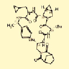 C[C@H](NC(=O)N(CC1CC1)NC(=O)[C@@H]1[C@H]2C[C@H]2CN1C(=O)[C@@H](NC(=O)N[C@H](CN1C(=O)C2CCC(C2)C1=O)C(C)(C)C)C(C)(C)C)c1ccccc1